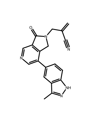 C=C(C#N)CN1Cc2c(cncc2-c2ccc3[nH]nc(C)c3c2)C1=O